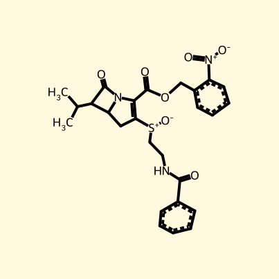 CC(C)C1C(=O)N2C(C(=O)OCc3ccccc3[N+](=O)[O-])=C([S+]([O-])CCNC(=O)c3ccccc3)CC12